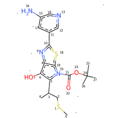 CSCC(C)c1c(O)c2nc(-c3cncc(N)c3)sc2n1C(=O)OC(C)(C)C